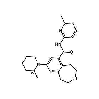 Cc1nccc(NC(=O)c2cc(N3CCCC[C@@H]3C)nc3c2CCOCC3)n1